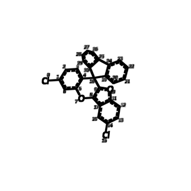 Clc1ccc2c(c1)Oc1c(oc3ccc(Cl)cc13)C21c2ccccc2-c2ccccc21